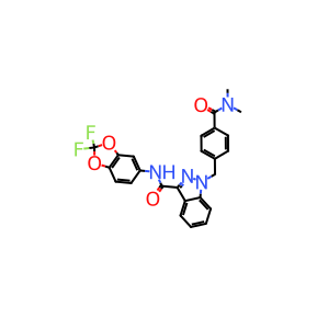 CN(C)C(=O)c1ccc(Cn2nc(C(=O)Nc3ccc4c(c3)OC(F)(F)O4)c3ccccc32)cc1